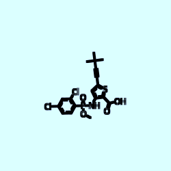 COP(=O)(Nc1cc(C#CC(C)(C)C)sc1C(=O)O)c1ccc(Cl)cc1Cl